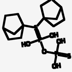 OP(O)(=S)OP(O)(O)=S(C12CCC(CC1)C2)C12CCC(CC1)C2